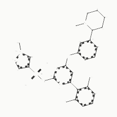 Cc1cccc(C)c1-c1cc(Oc2cccc(C3CCCCN3C)c2)nc(NS(=O)(=O)c2cnn(C)c2)n1